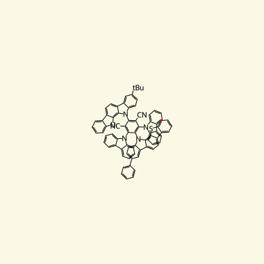 CC(C)(C)c1ccc2c(c1)c1ccc3c4ccccc4oc3c1n2-c1c(C#N)c(-n2c3ccccc3c3ccccc32)c(-n2c3ccc(-c4ccccc4)cc3c3ccc4c5ccccc5sc4c32)c(-n2c3ccccc3c3ccccc32)c1C#N